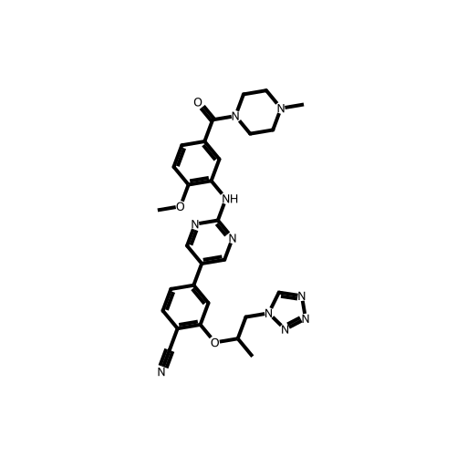 COc1ccc(C(=O)N2CCN(C)CC2)cc1Nc1ncc(-c2ccc(C#N)c(OC(C)Cn3cnnn3)c2)cn1